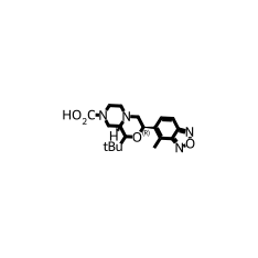 Cc1c([C@@H]2CN3CCN(C(=O)O)C[C@H]3C(C(C)(C)C)O2)ccc2nonc12